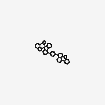 c1ccc2c(c1)Oc1ccc(-c3ccc(-c4cccc5c4-c4ccccc4C54c5ccccc5-c5cccc6cccc4c56)cc3)c3cccc-2c13